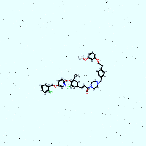 COc1cccc(OCCc2ccc(CN3CCN(C(=O)/C=C/c4cc(C)c(Oc5ccc(OCc6ccccc6Cl)cn5)c(Cl)c4)CC3)cc2)c1